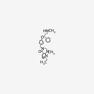 CCc1ncc2c(n1)N(C)CCN(Cc1ccc(OC(CCNC)c3ccccc3)cc1)C2=O